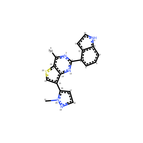 [2H]c1nc(-c2cccc3[nH]ccc23)nc2c(-c3ccnn3C)csc12